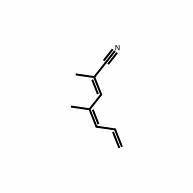 C=C/C=C(C)\C=C(/C)C#N